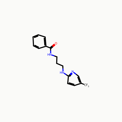 O=C(NCCCNc1ccc(C(F)(F)F)cn1)c1ccccc1